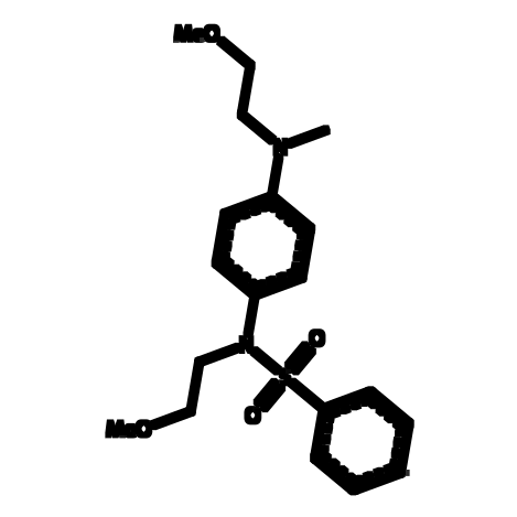 COCCN(C)c1ccc(N(CCOC)S(=O)(=O)c2cc[c]cc2)cc1